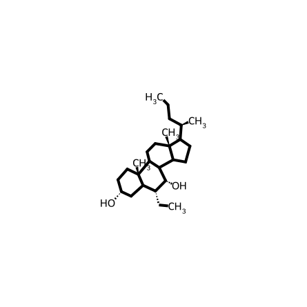 CCC[C@@H](C)C1CCC2C3C(CC[C@@]21C)[C@@]1(C)CC[C@@H](O)CC1[C@@H](CC)[C@H]3O